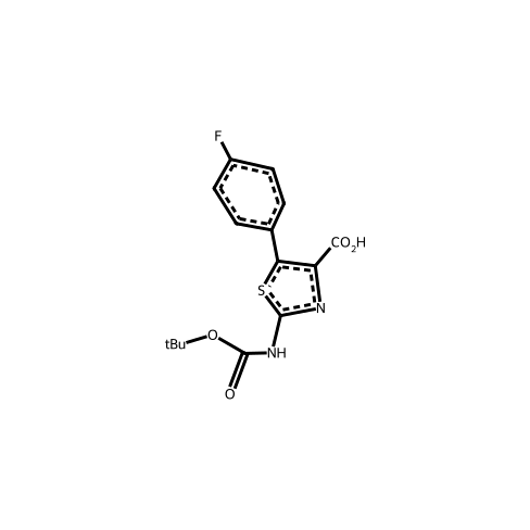 CC(C)(C)OC(=O)Nc1nc(C(=O)O)c(-c2ccc(F)cc2)s1